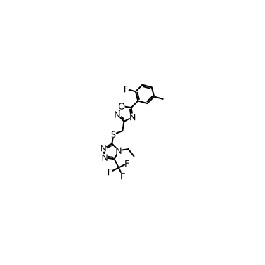 CCn1c(SCc2noc(-c3cc(C)ccc3F)n2)nnc1C(F)(F)F